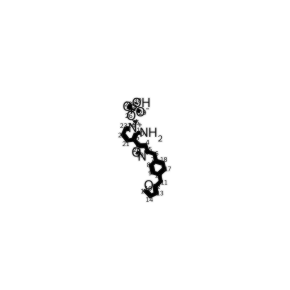 Nc1c(-c2cc(Cc3ccc(Cc4ccco4)cc3)no2)ccc[n+]1COP(=O)([O-])O